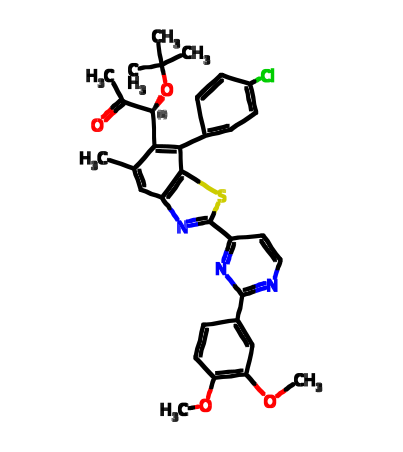 COc1ccc(-c2nccc(-c3nc4cc(C)c([C@H](OC(C)(C)C)C(C)=O)c(-c5ccc(Cl)cc5)c4s3)n2)cc1OC